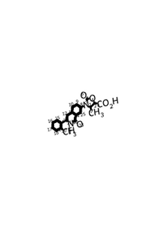 CC1C(C(=O)O)OC(=O)N1c1ccc2cc(-c3ccccc3C(F)(F)F)[nH]c(=O)c2c1